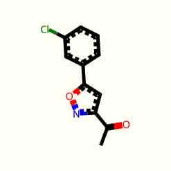 CC(=O)c1cc(-c2cccc(Cl)c2)on1